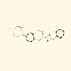 CCN1CCN(c2ccc3c(n2)CCN(S(=O)(=O)Cc2ccccc2)C3)CC1